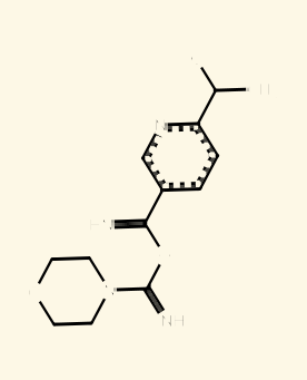 CC(C)c1ccc(C(=N)OC(=N)N2CCOCC2)cn1